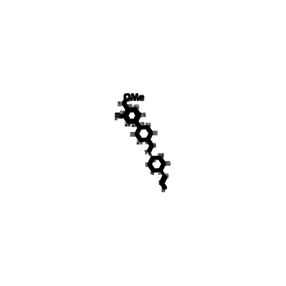 C/C=C/[C@H]1CC[C@H](CCC2CCC(c3ccc(COC)c(F)c3)CC2)CC1